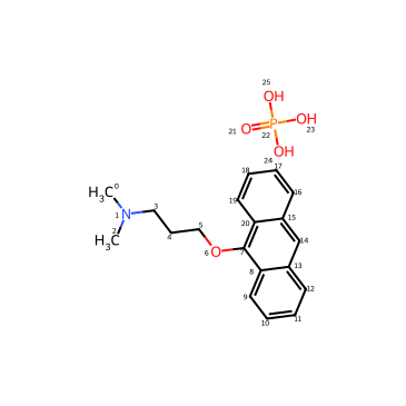 CN(C)CCCOc1c2ccccc2cc2ccccc12.O=P(O)(O)O